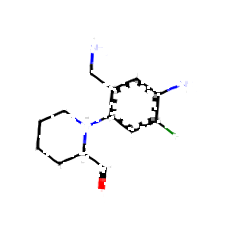 NCc1cc(N)c(F)cc1N1CCCCC1C=O